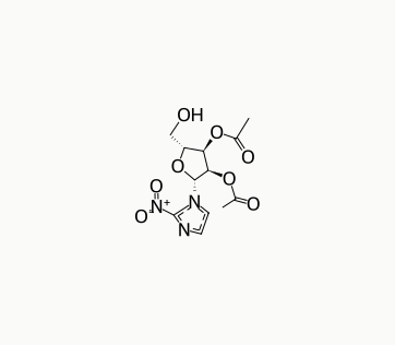 CC(=O)O[C@@H]1[C@H](OC(C)=O)[C@@H](CO)O[C@H]1n1ccnc1[N+](=O)[O-]